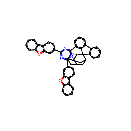 c1ccc2c(c1)-c1cccc(-c3nc(-c4ccc5c(c4)oc4ccccc45)nc(-c4ccc5c(c4)oc4ccccc45)n3)c1C21C2CC3CC(C2)CC1C3